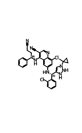 CC1(N2C=C([C@@H](Nc3cc(Cl)c4ncc(C#N)c(N[C@H](CCC#N)c5ccccc5)c4c3)c3ccccc3Cl)NN2)CC1